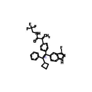 C=C(C(=O)NCC(F)(F)F)c1ccc(/C(=C(\c2ccccc2)C2CCC2)c2ccc3[nH]nc(F)c3c2)cc1